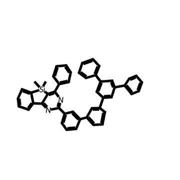 C[Si]1(C)c2ccccc2-c2nc(-c3cccc(-c4cccc(-c5cc(-c6ccccc6)cc(-c6ccccc6)c5)c4)c3)nc(-c3ccccc3)c21